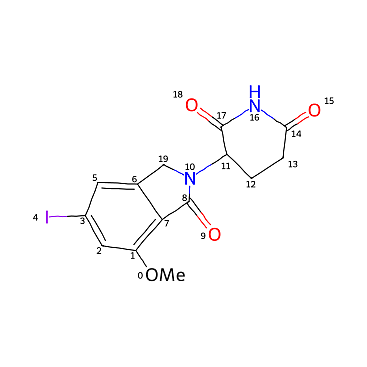 COc1cc(I)cc2c1C(=O)N(C1CCC(=O)NC1=O)C2